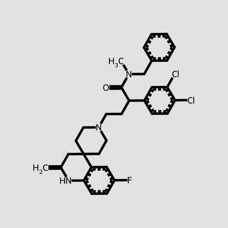 C=C1CC2(CCN(CCC(C(=O)N(C)Cc3ccccc3)c3ccc(Cl)c(Cl)c3)CC2)c2cc(F)ccc2N1